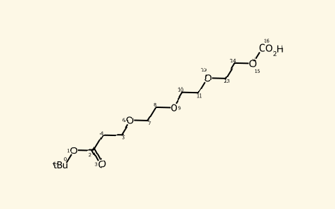 CC(C)(C)OC(=O)CCOCCOCCOCCOC(=O)O